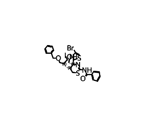 O=C(NC1=N[C@](CO)(c2nc(Br)cs2)[C@@H](C[C@@H](CI)COCc2ccccc2)CS1)c1ccccc1